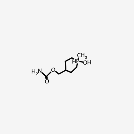 C[PH]1(O)CCC(COC(N)=O)CC1